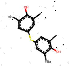 CCCCc1cc(Sc2cc(C)c(O)c(CCCC)c2)cc(C)c1O